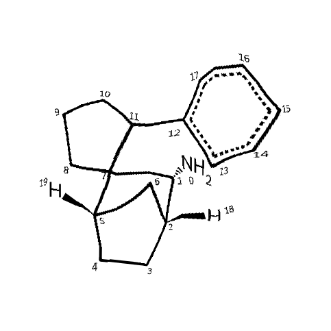 N[C@@H]1[C@@H]2CC[C@@H](C2)C12CCCC2c1ccccc1